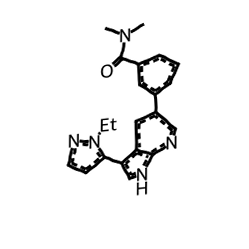 CCn1nccc1-c1c[nH]c2ncc(-c3cccc(C(=O)N(C)C)c3)cc12